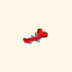 CCCCC(C)(I)C1CC(=O)N(CCC(=O)NCC(=O)NCC(=O)NCC(=O)NCC(=O)NC23CC(NC(=O)[C@]4(O)Cc5c(O)c6c(c(O)c5[C@@H](O[C@H]5C[C@H]7[C@H](O[C@@H]8[C@@H](OC)OCCN87)[C@H](C)O5)C4)C(=O)c4c(OC)cccc4C6=O)(C2)C3)C1=O